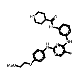 COCCOc1ccc(Nc2ncc(F)c(Nc3cccc(NC(=O)C4CCNCC4)c3)n2)cc1